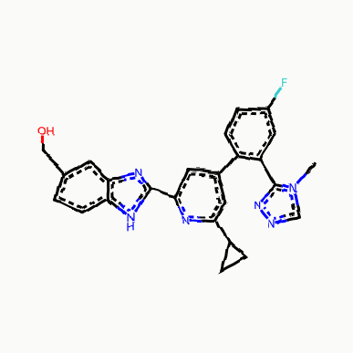 Cn1cnnc1-c1cc(F)ccc1-c1cc(-c2nc3cc(CO)ccc3[nH]2)nc(C2CC2)c1